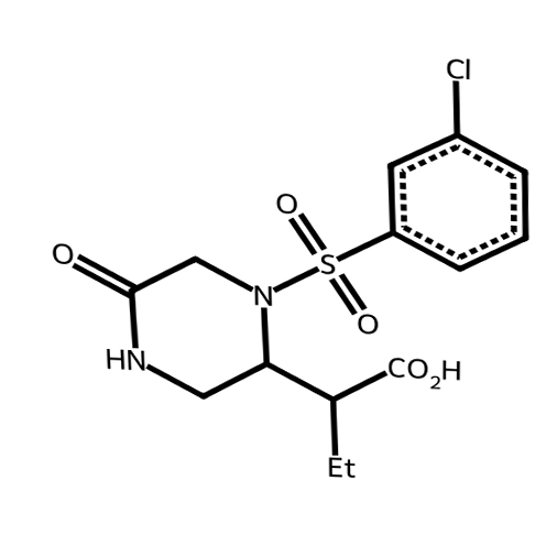 CCC(C(=O)O)C1CNC(=O)CN1S(=O)(=O)c1cccc(Cl)c1